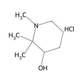 CN1CCCC(O)C1(C)C.Cl